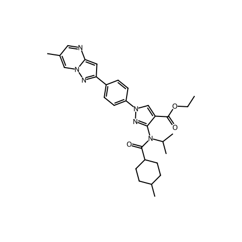 CCOC(=O)c1cn(-c2ccc(-c3cc4ncc(C)cn4n3)cc2)nc1N(C(=O)C1CCC(C)CC1)C(C)C